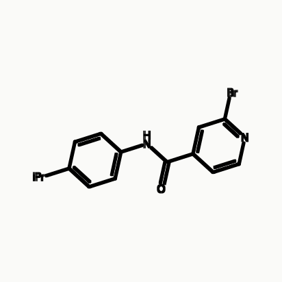 CC(C)c1ccc(NC(=O)c2ccnc(Br)c2)cc1